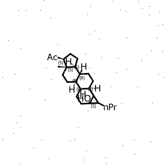 CCCC1C2[C@@H]3CC[C@@H]4[C@H](CC[C@]5(C)[C@@H](C(C)=O)CC[C@@H]45)[C@H]3CC[C@]12O